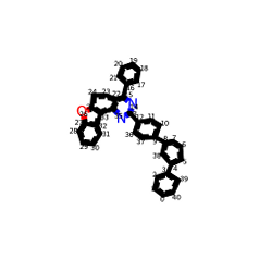 c1ccc(-c2cccc(-c3ccc(-c4nc(-c5ccccc5)c5ccc6oc7ccccc7c6c5n4)cc3)c2)cc1